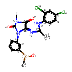 CC[S+]([O-])c1cccc(N2C(=O)N(C)C(=O)C2=NC(Nc2ccc(Cl)cc2Cl)C(Cl)(Cl)Cl)c1